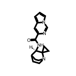 O=C(N[C@@H]1C2CCN(CC2)C12CC2)c1cc2cccn2cn1